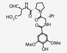 COc1cc(C(=O)N[C@H](C(=O)N2CCC[C@H]2C(=O)N[C@H](C=O)CC(=O)O)C(C)C)cc(OC)c1O